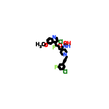 COc1ccc2ncc(Cl)c([C@H](F)CCC3(C(=O)NO)CCN(CC#Cc4cc(F)cc(Cl)c4)CC3)c2c1